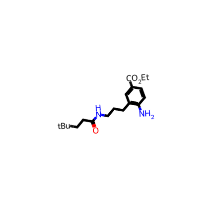 CCOC(=O)c1ccc(N)c(CCCNC(=O)CCC(C)(C)C)c1